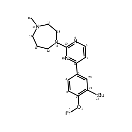 CC(C)Oc1ccc(-c2ccnc(N3CCCN(C)CC3)n2)cc1C(C)(C)C